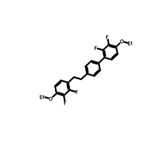 CCOc1ccc(CCc2ccc(-c3ccc(OCC)c(F)c3F)cc2)c(F)c1F